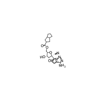 N#C[C@@]1(c2ccc3c(N)ncnn23)O[C@H](COC(=O)C2CC3CCCC3C2)[C@@H](O)[C@H]1O